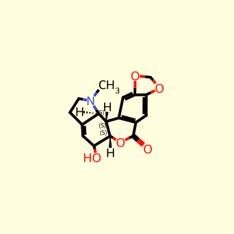 CN1CCC2=CC(O)[C@H]3OC(=O)c4cc5c(cc4[C@H]3[C@@H]21)OCO5